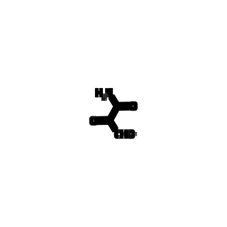 NC(=O)C(=O)[C]=O